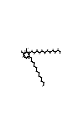 CCCCCCCCCCCCc1ccc(C)c(C)c1CCCCCCCCCCCC